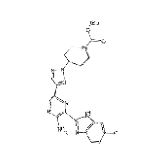 CC(C)(C)OC(=O)N1CCC(n2cc(-c3cnc(N)c(-c4nc5ccc(F)cc5[nH]4)n3)cn2)CC1